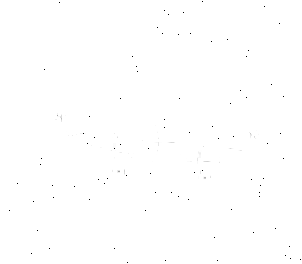 CCC(CC)(COP(=O)(O)OCC[N+](C)(C)C)COP(=O)(O)OCC[N+](C)(C)C